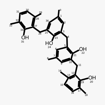 Cc1cc(Cc2cc(C)cc(Cc3c(C)ccc(C)c3O)c2O)c(O)c(Cc2c(C)ccc(C)c2O)c1